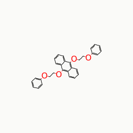 c1ccc(OCCOc2c3ccccc3c(OCCOc3ccccc3)c3ccccc23)cc1